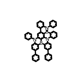 c1ccc(-c2ccc3c(c2)B2c4cc(-c5ccccc5)ccc4N4c5ccccc5B5c6c(cc(c2c64)N3c2ccccc2)-c2ccccc2N5c2ccccc2)cc1